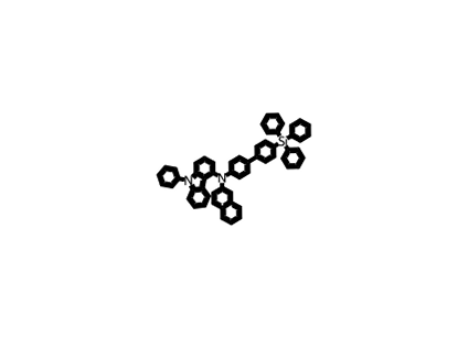 c1ccc(-n2c3ccccc3c3c(N(c4ccc(-c5ccc([Si](c6ccccc6)(c6ccccc6)c6ccccc6)cc5)cc4)c4ccc5ccccc5c4)cccc32)cc1